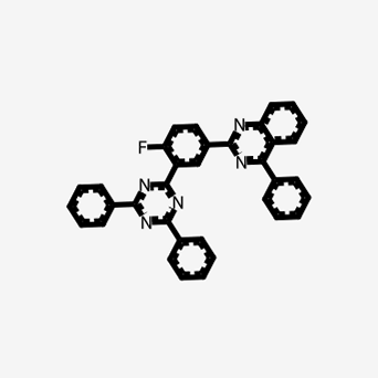 Fc1ccc(-c2nc(-c3ccccc3)c3ccccc3n2)cc1-c1nc(-c2ccccc2)nc(-c2ccccc2)n1